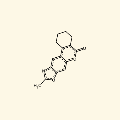 Cc1nc2cc3c4c(c(=O)oc3cc2o1)CCCC4